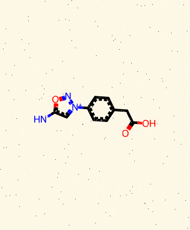 [NH-]c1c[n+](-c2ccc(CC(=O)O)cc2)no1